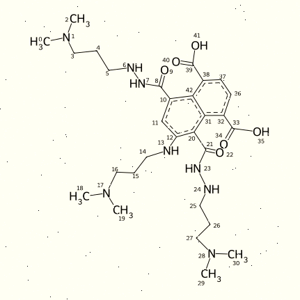 CN(C)CCCNNC(=O)c1cc(NCCCN(C)C)c(C(=O)NNCCCN(C)C)c2c(C(=O)O)ccc(C(=O)O)c12